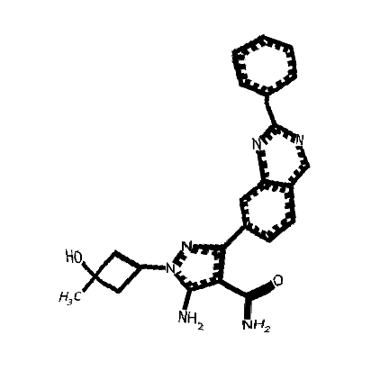 CC1(O)CC(n2nc(-c3ccc4cnc(-c5ccccc5)nc4c3)c(C(N)=O)c2N)C1